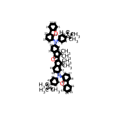 CC1(C)c2cc(N(c3ccc([Si](C)(C)C)cc3)c3cccc4c3oc3ccccc34)ccc2-c2oc3c(c21)C(C)(C)c1cc(N(c2ccc([Si](C)(C)C)cc2)c2cccc4c2oc2ccccc24)ccc1-3